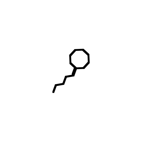 CCCCC=C1CCCCCCC1